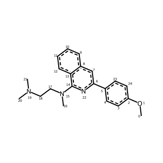 COc1ccc(-c2cc3ccccc3c(N(C)CCN(C)C)n2)cc1